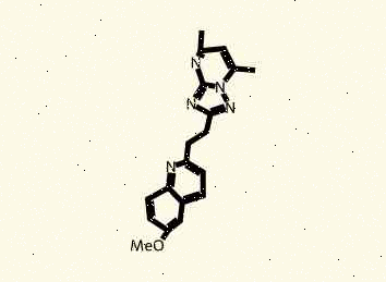 COc1ccc2nc(CCc3nc4nc(C)cc(C)n4n3)ccc2c1